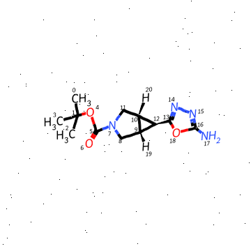 CC(C)(C)OC(=O)N1C[C@@H]2[C@H](C1)[C@H]2c1nnc(N)o1